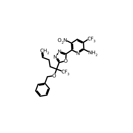 C=CCCC(OCc1ccccc1)(c1nnc(-c2nc(N)c(C(F)(F)F)cc2[N+](=O)[O-])o1)C(F)(F)F